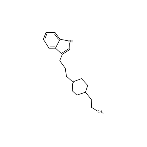 CCCC1CCN(CCCc2c[nH]c3ccccc23)CC1